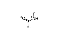 [CH2]C(=O)NC